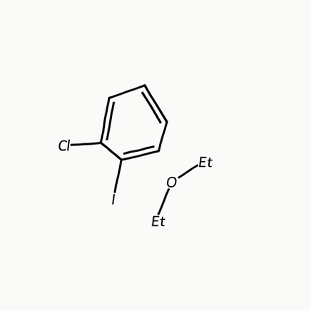 CCOCC.Clc1ccccc1I